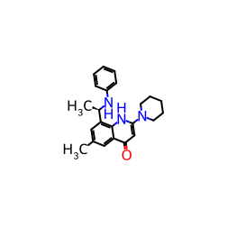 Cc1cc([C@@H](C)Nc2ccccc2)c2[nH]c(N3CCCCC3)cc(=O)c2c1